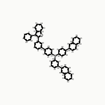 c1ccc(-c2c(-c3cccc(-c4ccc(N(c5ccc(-c6ccc7ccccc7c6)cc5)c5cccc(-c6ccc7ccccc7c6)c5)cc4)c3)oc3ccccc23)cc1